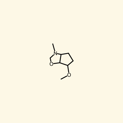 COC1CCC2C1OCN2C